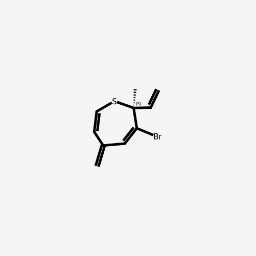 C=C[C@]1(C)SC=CC(=C)C=C1Br